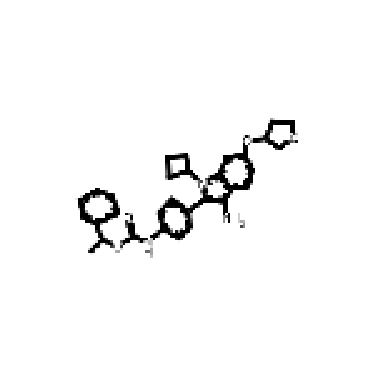 CC(OC(=O)Nc1ccc(-c2c(N)c3ccc(OC4CCOC4)cc3n2C2CCC2)cc1)c1ccccc1